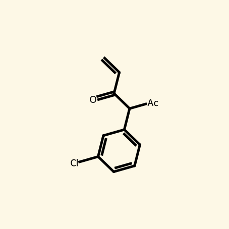 C=CC(=O)C(C(C)=O)c1cccc(Cl)c1